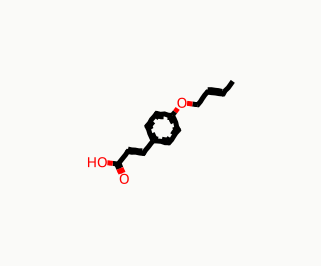 C/C=C/COc1ccc(/C=C/C(=O)O)cc1